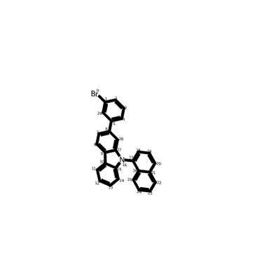 Brc1cccc(-c2ccc3c4ccccc4n(-c4cccc5ccccc45)c3c2)c1